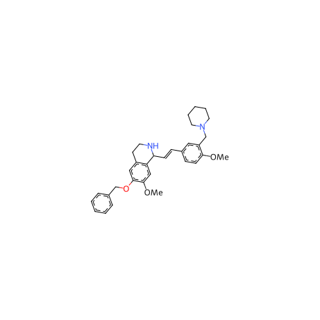 COc1ccc(C=CC2NCCc3cc(OCc4ccccc4)c(OC)cc32)cc1CN1CCCCC1